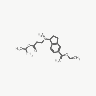 C=C(OCC)c1ccc2c(c1)CCC2N(C)CCC(=O)OC(C)C